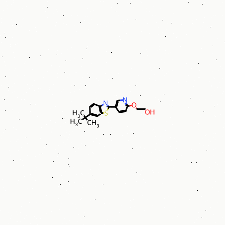 CC(C)(C)c1ccc2nc(-c3ccc(OCCO)nc3)sc2c1